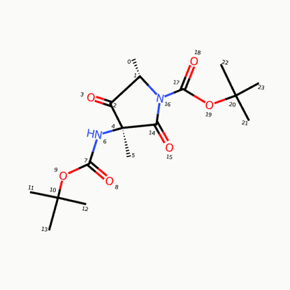 C[C@H]1C(=O)[C@](C)(NC(=O)OC(C)(C)C)C(=O)N1C(=O)OC(C)(C)C